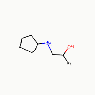 CCC(O)CNC1CCCC1